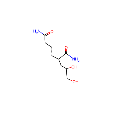 NC(=O)CCCC(CC(O)CO)C(N)=O